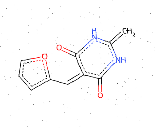 C=c1[nH]c(=O)c(=Cc2ccco2)c(=O)[nH]1